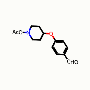 CC(=O)ON1CCC(Oc2ccc(C=O)cc2)CC1